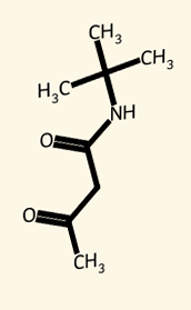 CC(=O)CC(=O)NC(C)(C)C